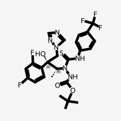 C[C@@H](N(NC(=O)OC(C)(C)C)C(=S)Nc1ccc(C(F)(F)F)cc1)[C@](O)(Cn1cncn1)c1ccc(F)cc1F